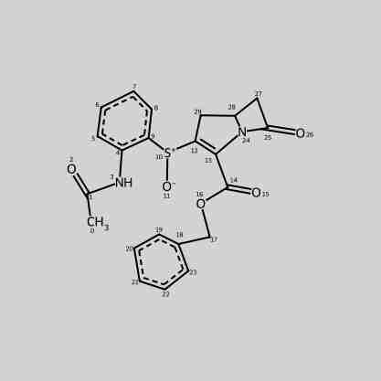 CC(=O)Nc1ccccc1[S+]([O-])C1=C(C(=O)OCc2ccccc2)N2C(=O)CC2C1